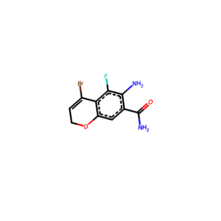 NC(=O)c1cc2c(c(F)c1N)C(Br)=CCO2